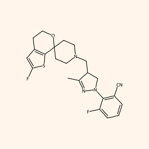 CC1=NN(c2c(F)cccc2C#N)CC1CN1CCC2(CC1)OCCc1cc(F)sc12